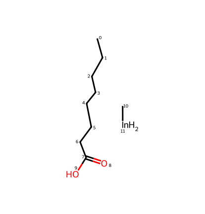 CCCCCCCC(=O)O.[CH3][InH2]